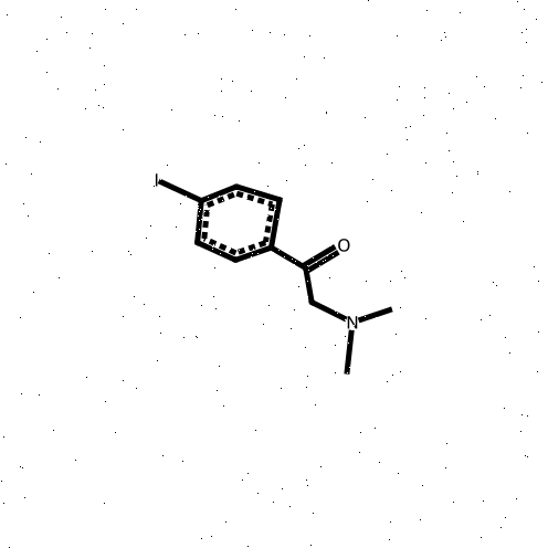 CN(C)CC(=O)c1ccc(I)cc1